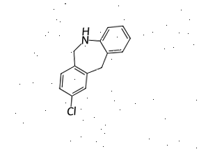 Clc1ccc2c(c1)Cc1ccccc1NC2